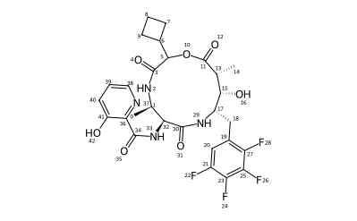 C[C@H]1NC(=O)C(C2CCC2)OC(=O)[C@H](C)[C@H](O)[C@H](Cc2cc(F)c(F)c(F)c2F)NC(=O)[C@H]1NC(=O)c1ncccc1O